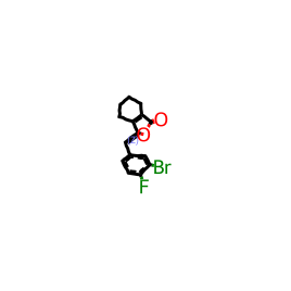 O=C1O/C(=C\c2ccc(F)c(Br)c2)C2=C1CCCC2